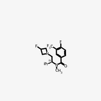 CC(C)[C@@H](CN1CC(F)C1)N(C)C(=O)c1ccc(F)c(C(F)(F)F)c1